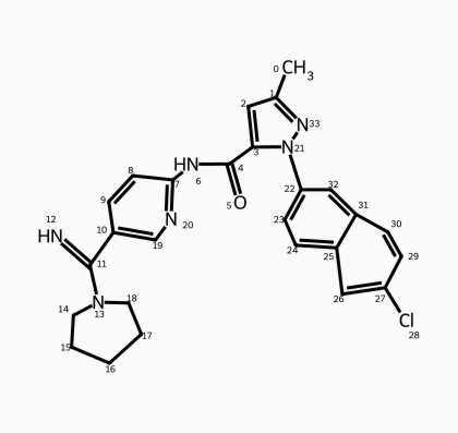 Cc1cc(C(=O)Nc2ccc(C(=N)N3CCCCC3)cn2)n(-c2ccc3cc(Cl)ccc3c2)n1